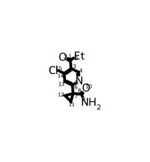 CCC(=O)c1cnc(C2(C(N)=O)CC2)cc1Cl